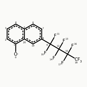 [O]c1cccc2ccc(C(F)(F)C(F)(F)C(F)(F)C(F)(F)F)cc12